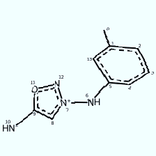 Cc1cccc(N[n+]2cc([NH-])on2)c1